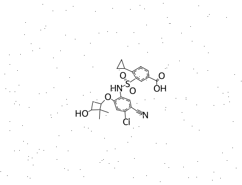 CC1(C)C(O)CC1Oc1cc(Cl)c(C#N)cc1NS(=O)(=O)c1cc(C(=O)O)ccc1C1CC1